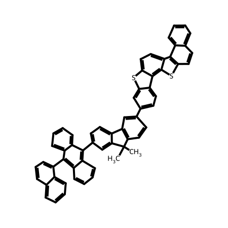 CC1(C)c2ccc(-c3ccc4c(c3)sc3ccc5c(sc6ccc7ccccc7c65)c34)cc2-c2ccc(-c3c4ccccc4c(-c4cccc5ccccc45)c4ccccc34)cc21